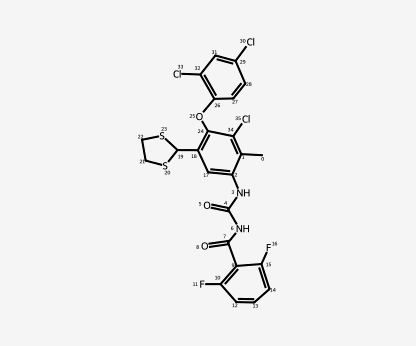 Cc1c(NC(=O)NC(=O)c2c(F)cccc2F)cc(C2SCCS2)c(Oc2ccc(Cl)cc2Cl)c1Cl